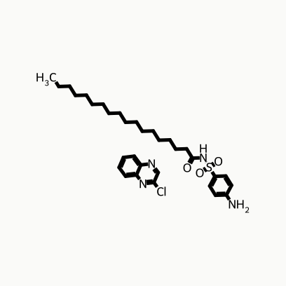 CCCCCCCCCCCCCCCCCC(=O)NS(=O)(=O)c1ccc(N)cc1.Clc1cnc2ccccc2n1